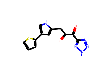 O=C(Cc1cc(-c2cccs2)c[nH]1)C(=O)c1nn[nH]n1